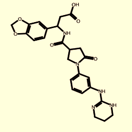 O=C(O)CC(NC(=O)C1CC(=O)N(c2cccc(NC3=NCCCN3)c2)C1)c1ccc2c(c1)OCO2